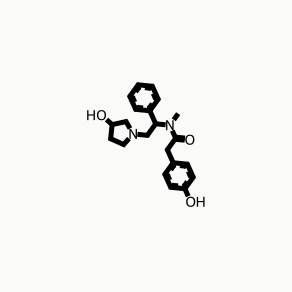 CN(C(=O)Cc1ccc(O)cc1)C(CN1CCC(O)C1)c1ccccc1